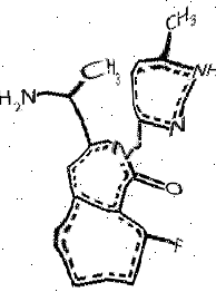 Cc1cc(-n2c(C(C)N)cc3cccc(F)c3c2=O)n[nH]1